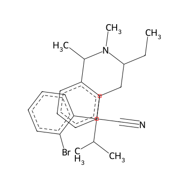 CCC(CCC(C#N)(c1ccccc1Br)C(C)C)N(C)C(C)c1ccccc1